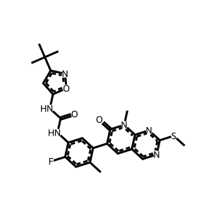 CSc1ncc2cc(-c3cc(NC(=O)Nc4cc(C(C)(C)C)no4)c(F)cc3C)c(=O)n(C)c2n1